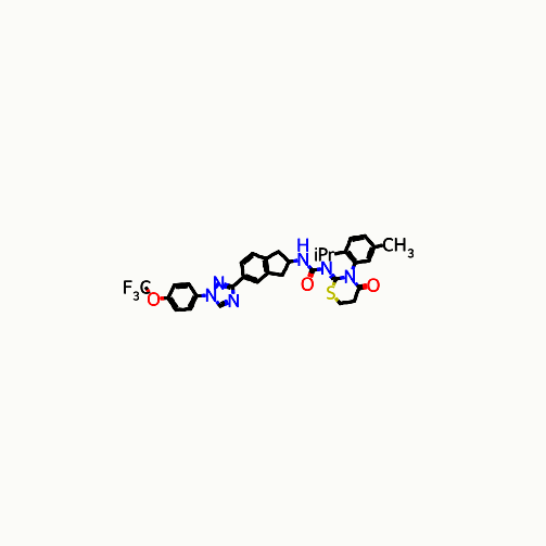 Cc1ccc(C(C)C)c(N2C(=O)CCSC2=NC(=O)NC2Cc3ccc(-c4ncn(-c5ccc(OC(F)(F)F)cc5)n4)cc3C2)c1